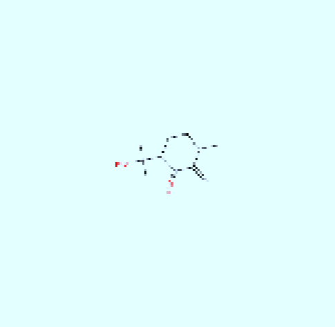 C=C1C(=O)C(C(C)(C)O)CCC1C